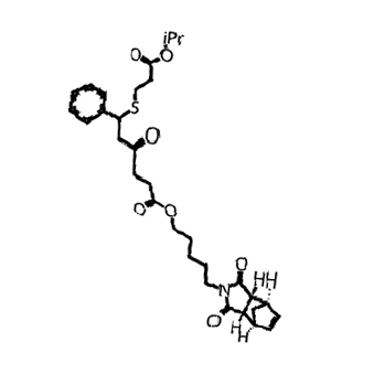 CC(C)OC(=O)CCSC(CC(=O)CCC(=O)OCCCCCN1C(=O)[C@@H]2[C@H](C1=O)[C@H]1C=C[C@@H]2C1)c1ccccc1